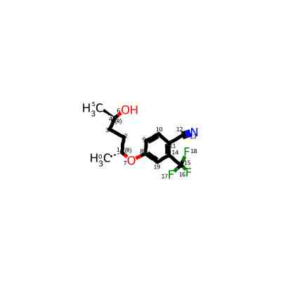 C[C@H](CC[C@@H](C)O)Oc1ccc(C#N)c(C(F)(F)F)c1